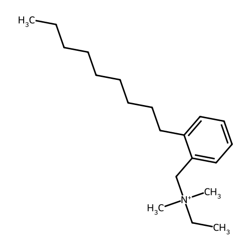 CCCCCCCCCc1ccccc1C[N+](C)(C)CC